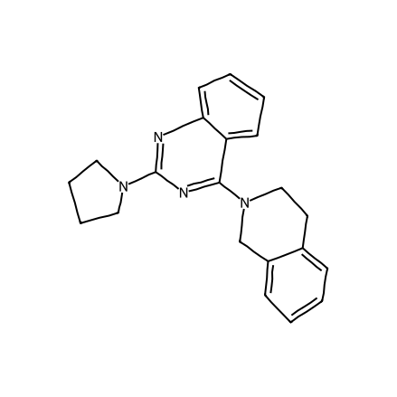 c1ccc2c(c1)CCN(c1nc(N3CCCC3)nc3ccccc13)C2